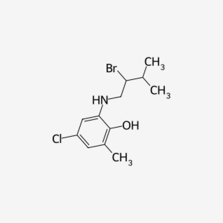 Cc1cc(Cl)cc(NCC(Br)C(C)C)c1O